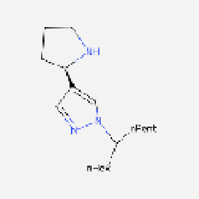 CCCCCCC(CCCCC)n1cc([C@H]2CCCN2)cn1